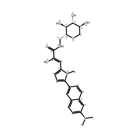 CN(C)c1ccc2cc(-c3ccc(/C=C(\C#N)C(=O)NC[C@H]4OC[C@H](O)[C@@H](O)[C@@H]4O)n3C)ccc2c1